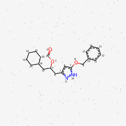 O=COC(Cc1cc(OCc2ccccc2)[nH]n1)CC1CCCCC1